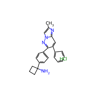 Cc1cn2nc(-c3ccc(C4(N)CCC4)cc3)c(-c3ccccc3)cc2n1.Cl